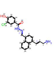 NC/C=C/c1ccc(/C=N/NC(=O)c2ccc(O)c(Cl)c2)c2ccccc12